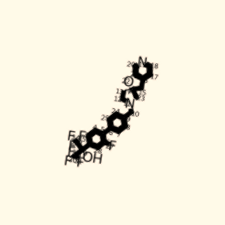 OC(c1ccc(-c2ccc(CN3CC[C@]4(Cc5ccncc5O4)C3)cc2)c(F)c1)(C(F)(F)F)C(F)(F)F